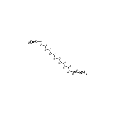 CCCCCCCCCCCCCCCCCCCCCCCCC#CN